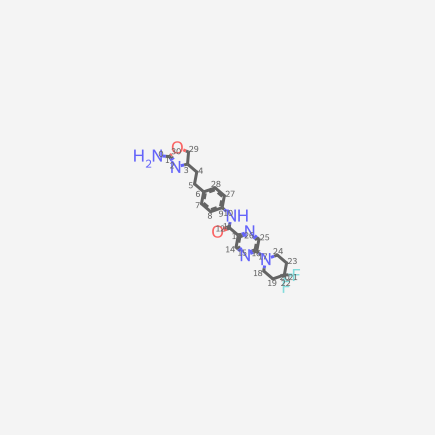 NC1=NC(CCc2ccc(NC(=O)c3cnc(N4CCC(F)(F)CC4)cn3)cc2)CO1